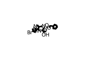 N#Cc1cnn2cc(Br)cc2c1N[C@@H]1CN(C(=O)OCc2ccccc2)C[C@H]1O